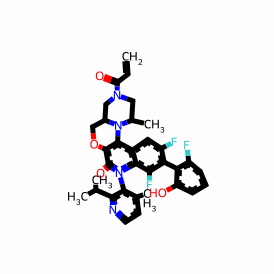 C=CC(=O)N1CC(C)N2c3c(c(=O)n(-c4c(C)ccnc4C(C)C)c4c(F)c(-c5c(O)cccc5F)c(F)cc34)OCC2C1